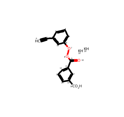 C#Cc1cccc(OOC(=O)c2cccc(C(=O)O)c2)c1.[KH].[KH]